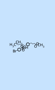 COC(=O)CCCc1ccc(C(CCCCC(C)C)NS(=O)(=O)c2ccc(Br)cc2)cc1